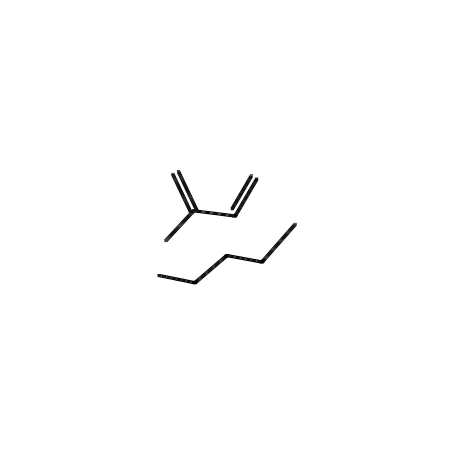 C=CC(=C)C.CCCCC